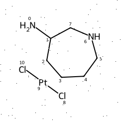 NC1CCCCNC1.[Cl][Pt][Cl]